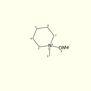 CO[N+]1(C)CCCCC1